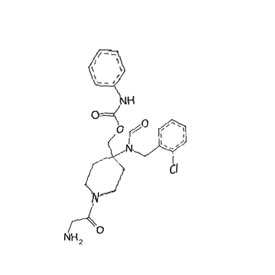 NCC(=O)N1CCC(COC(=O)Nc2ccccc2)(N(C=O)Cc2ccccc2Cl)CC1